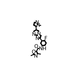 Cc1nc(C)c(C(=O)Nc2ccc(F)c(-c3cn4cc(-c5ccnn5C)cnc4n3)c2)o1